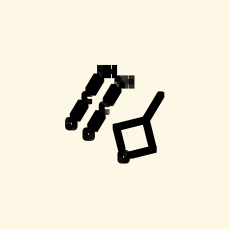 CC1COC1.N=C=O.N=C=O